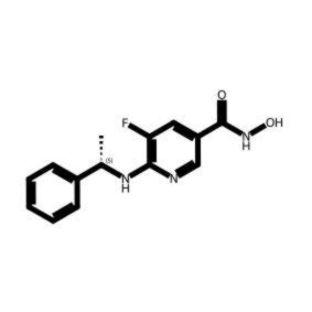 C[C@H](Nc1ncc(C(=O)NO)cc1F)c1ccccc1